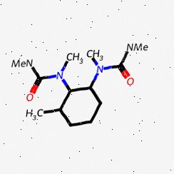 CNC(=O)N(C)C1CCCC(C)C1N(C)C(=O)NC